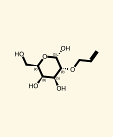 C=CCO[C@@H]1[C@@H](O)[C@@H](O)[C@@H](CO)O[C@@H]1O